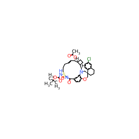 CC(=O)O[C@H]1/C=C/CCCS(=O)(NC(=O)OC(C)(C)C)=NC(=O)c2ccc3c(c2)N(C[C@@H]2CC[C@H]21)C[C@@]1(CCCc2cc(Cl)ccc21)CO3